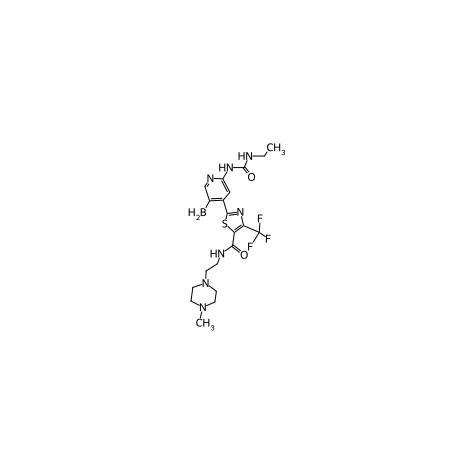 Bc1cnc(NC(=O)NCC)cc1-c1nc(C(F)(F)F)c(C(=O)NCCN2CCN(C)CC2)s1